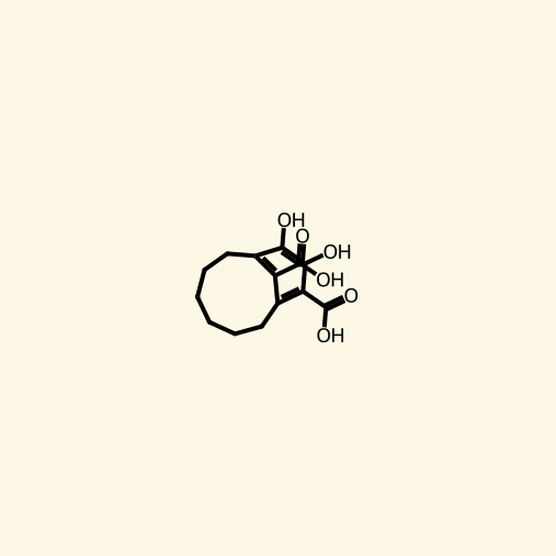 O=C(O)c1c(O)c(O)c2c(C(=O)O)c1CCCCCC2